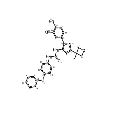 CC1(c2cc(NC(=O)Nc3ccc(Oc4ccncc4)cc3)n(-c3ccc(O)c(Cl)c3)n2)COC1